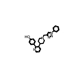 Oc1ccc(-c2ncccc2C2CCN(Cc3cn(-c4ccccc4)nn3)CC2)cc1